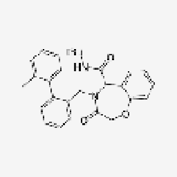 Cc1ccccc1-c1ccccc1CN1C(=O)COc2ccccc2C1C(=O)NC(C)(C)C